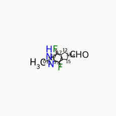 Cc1nc2c(F)c3c(c(F)c2[nH]1)CC(C=O)C3